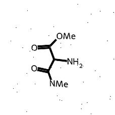 CNC(=O)C(N)C(=O)OC